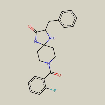 O=C1[N]C2(CCN(C(=O)c3ccccc3F)CC2)NC1Cc1ccccc1